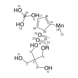 OCC(CO)(CO)CO.OP(O)O.[CH3][Mn][C]1=CC=CC1.[C]=O.[C]=O